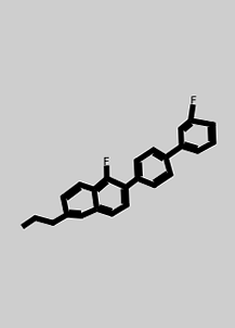 CCCc1ccc2c(F)c(-c3ccc(-c4cccc(F)c4)cc3)ccc2c1